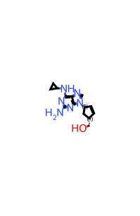 Nc1nc(NC2CC2)c2ncn([C@H]3C=C[C@H](CO)C3)c2n1